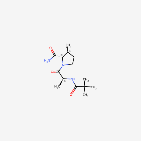 C[C@H](NC(=O)C(C)(C)C)C(=O)N1CC[C@H](C)[C@H]1C(N)=O